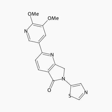 COc1cc(-c2ccc3c(n2)CN(c2cncs2)C3=O)cnc1OC